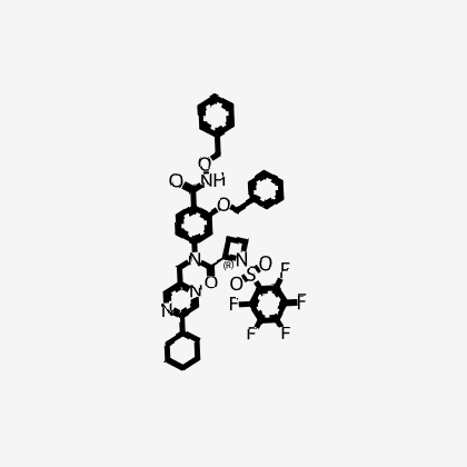 O=C(NOCc1ccccc1)c1ccc(N(Cc2cnc(C3CCCCC3)cn2)C(=O)[C@H]2CCN2S(=O)(=O)c2c(F)c(F)c(F)c(F)c2F)cc1OCc1ccccc1